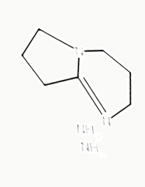 C1CN=C2CCCN2C1.N.N